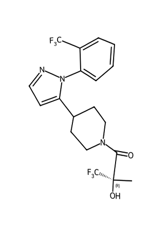 C[C@@](O)(C(=O)N1CCC(c2ccnn2-c2ccccc2C(F)(F)F)CC1)C(F)(F)F